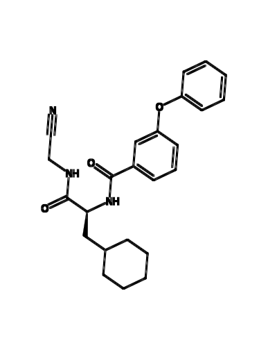 N#CCNC(=O)[C@H](CC1CCCCC1)NC(=O)c1cccc(Oc2ccccc2)c1